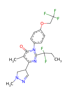 CCC(F)(F)c1nc(C2C=NN(C)C2)c(C)c(=O)n1-c1ccc(OCC(F)(F)F)cc1